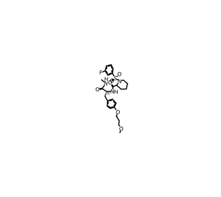 CNC(=O)[C@H](Cc1ccc(OCCCOC)cc1)NC(=O)C1CCCCN1S(=O)(=O)c1cccc(F)c1